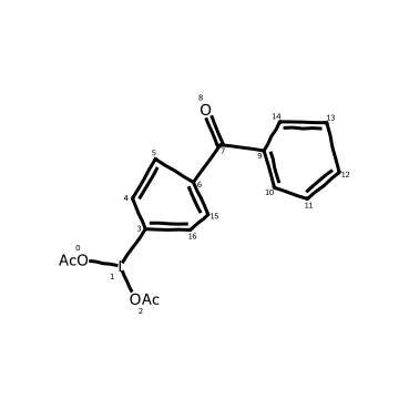 CC(=O)OI(OC(C)=O)c1ccc(C(=O)c2ccccc2)cc1